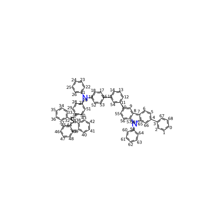 c1ccc(-c2ccc3c4cc(-c5cccc(-c6ccc(N(c7ccccc7)c7ccc([Si](c8ccccc8)(c8ccccc8)c8ccccc8)cc7)cc6)c5)ccc4n(-c4ccccc4)c3c2)cc1